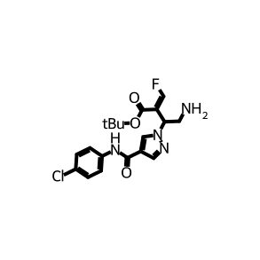 CC(C)(C)OC(=O)C(=CF)C(CN)n1cc(C(=O)Nc2ccc(Cl)cc2)cn1